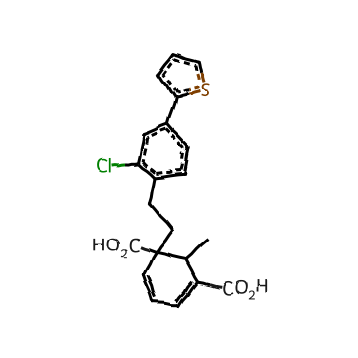 CC1C(C(=O)O)=CC=CC1(CCc1ccc(-c2cccs2)cc1Cl)C(=O)O